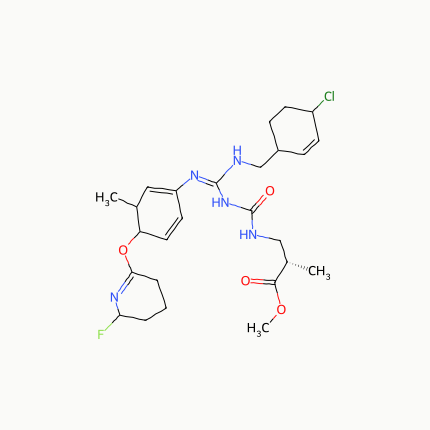 COC(=O)[C@@H](C)CNC(=O)N/C(=N\C1=CC(C)C(OC2=NC(F)CCC2)C=C1)NCC1C=CC(Cl)CC1